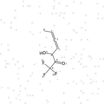 CC=C=CC(O)C(=O)C(F)(F)F